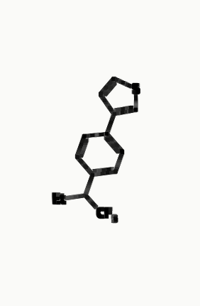 CCC(c1ccc(-c2ccsc2)cc1)C(F)(F)F